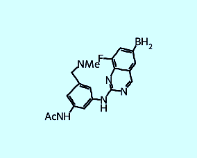 Bc1cc(F)c2nc(Nc3cc(CNC)cc(NC(C)=O)c3)ncc2c1